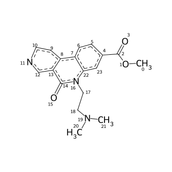 COC(=O)c1ccc2c3ccncc3c(=O)n(CCN(C)C)c2c1